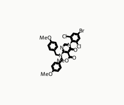 COC(=O)c1c(N(Cc2ccc(OC)cc2)Cc2ccc(OC)cc2)ncn(-c2c(Cl)cc(Br)cc2Cl)c1=O